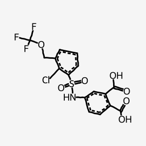 O=C(O)c1ccc(NS(=O)(=O)c2cccc(COC(F)(F)F)c2Cl)cc1C(=O)O